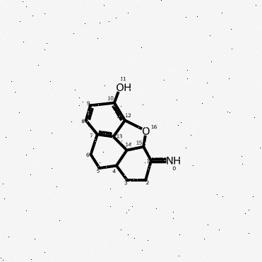 N=C1CCC2CCc3ccc(O)c4c3C2C1O4